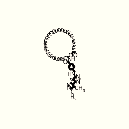 Cc1nnc2sc3c(NCc4ccc(C(=O)NC5CCCCCCCCCCCCCCCCCCCCCCCCCCCCC6(COC6)C5)cc4)ncnc3c2c1C